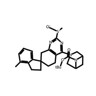 Cc1cccc2c1CCC21CCc2c(nc([S+](C)[O-])nc2N2CC3CC(C2)N3C(=O)OC(C)(C)C)C1